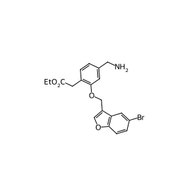 CCOC(=O)Cc1ccc(CN)cc1OCc1coc2ccc(Br)cc12